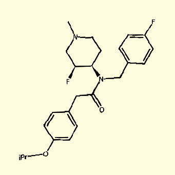 CC(C)Oc1ccc(CC(=O)N(Cc2ccc(F)cc2)[C@@H]2CCN(C)C[C@@H]2F)cc1